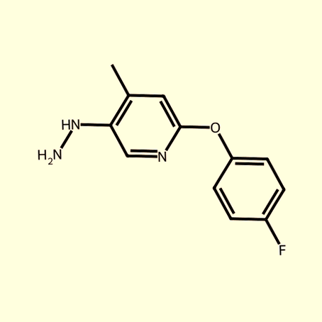 Cc1cc(Oc2ccc(F)cc2)ncc1NN